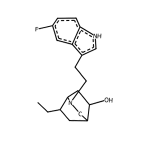 CCC1CC2CN(CCc3c[nH]c4ccc(F)cc34)C1CC2O